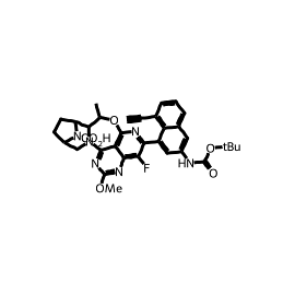 C#Cc1cccc2cc(NC(=O)OC(C)(C)C)cc(-c3nc4c5c(nc(OC)nc5c3F)N3CC5CCC(C3C(C)O4)N5C(=O)O)c12